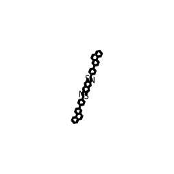 c1ccc2c(c1)ccc1cc(-c3ccc(-c4nc5cc6cc7sc(-c8ccc(-c9ccc%10c(ccc%11ccccc%11%10)c9)cc8)nc7cc6cc5s4)cc3)ccc12